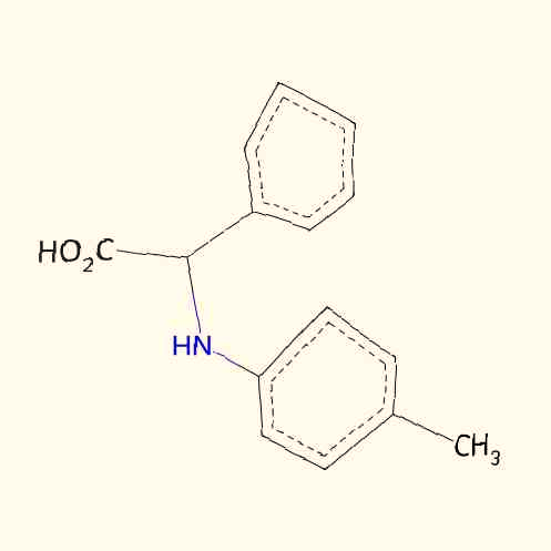 Cc1ccc(NC(C(=O)O)c2ccccc2)cc1